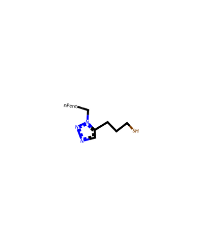 CCCCCCn1nncc1CCCS